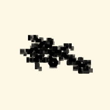 CCNC(=O)C(NC(=O)[C@H](CCN)NC(=O)[C@H](CCN)NC(=O)[C@H](CC(C)C)NC(=O)[C@@H](Cc1ccccc1)NC(=O)[C@H](CCN)NC(=O)CNC(=O)CNC(=O)C(NC=O)C(C)O)C(C)O